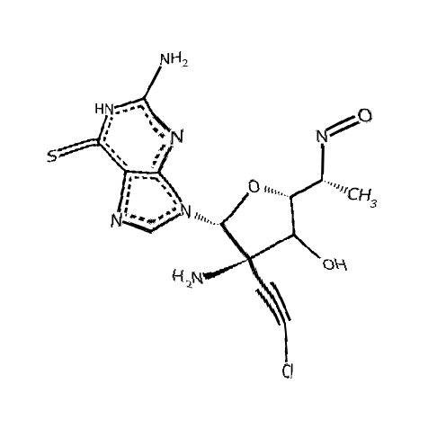 C[C@@H](N=O)[C@H]1O[C@@H](n2cnc3c(=S)[nH]c(N)nc32)[C@@](N)(C#CCl)C1O